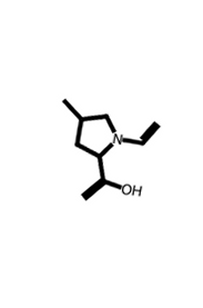 C=CN1CC(C)CC1C(=C)O